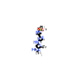 Cc1nc2c(C(C)C)nc(Nc3ccnc(-c4cnn(S(C)(=O)=O)c4)n3)cc2[nH]1